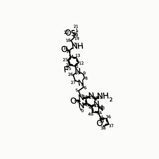 Cn1c(=O)n(CCN2CCN(c3ccc(C(=O)NCC[S@+](C)[O-])cc3F)CC2)c2nc(N)n3nc(-c4ccco4)cc3c21